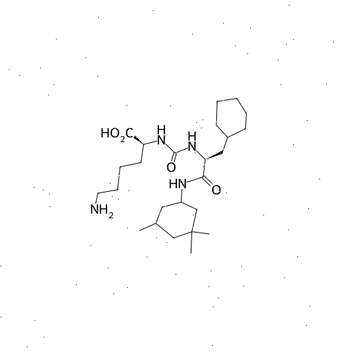 CC1CC(NC(=O)[C@H](CC2CCCCC2)NC(=O)N[C@@H](CCCCN)C(=O)O)CC(C)(C)C1